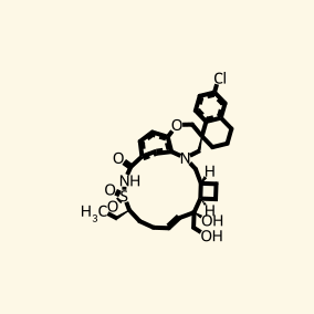 CC[C@@H]1CC/C=C/[C@@](O)(CO)[C@@H]2CC[C@H]2CN2C[C@@]3(CCCc4cc(Cl)ccc43)COc3ccc(cc32)C(=O)NS1(=O)=O